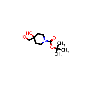 CC(C)(C)OC(=O)N1CCC(O)(CO)CC1